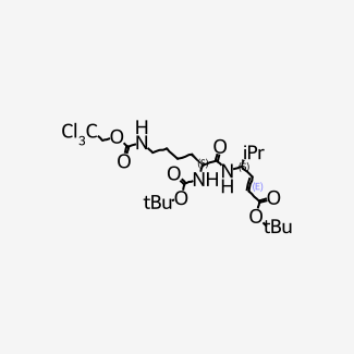 CC(C)[C@@H](/C=C/C(=O)OC(C)(C)C)NC(=O)[C@H](CCCCNC(=O)OCC(Cl)(Cl)Cl)NC(=O)OC(C)(C)C